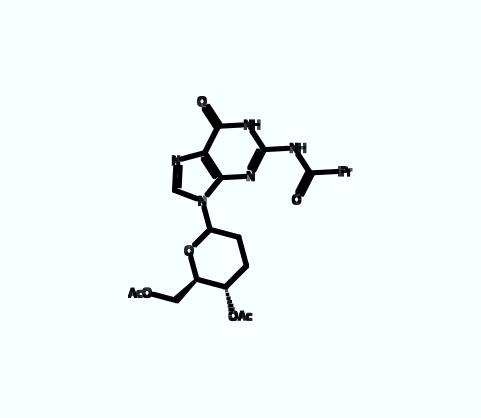 CC(=O)OC[C@H]1OC(n2cnc3c(=O)[nH]c(NC(=O)C(C)C)nc32)CC[C@@H]1OC(C)=O